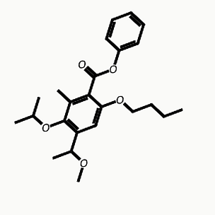 CCCCOc1cc(C(C)OC)c(OC(C)C)c(C)c1C(=O)Oc1ccccc1